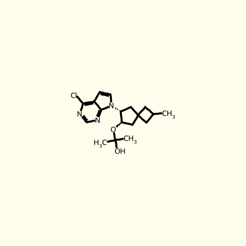 CC1CC2(C1)C[C@@H](n1ccc3c(Cl)ncnc31)[C@H](OC(C)(C)O)C2